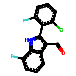 O=Cc1c(-c2c(F)cccc2Cl)[nH]c2c(F)cccc12